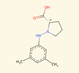 Cc1cc(C)cc(NN2CCC[C@H]2C(=O)O)c1